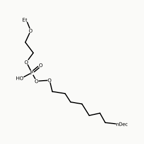 CCCCCCCCCCCCCCCCCOOP(=O)(O)OCCOCC